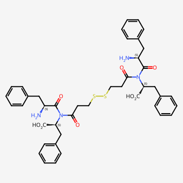 N[C@@H](Cc1ccccc1)C(=O)N(C(=O)CCSSCCC(=O)N(C(=O)[C@@H](N)Cc1ccccc1)[C@@H](Cc1ccccc1)C(=O)O)[C@@H](Cc1ccccc1)C(=O)O